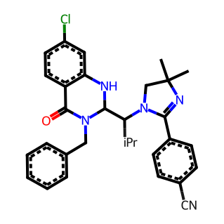 CC(C)C(C1Nc2cc(Cl)ccc2C(=O)N1Cc1ccccc1)N1CC(C)(C)N=C1c1ccc(C#N)cc1